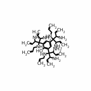 C=CCNC(c1cc(C(NCC=C)(C(N)C=C)C(N)C=C)c(O)c(C(NCC=C)(C(N)C=C)C(N)C=C)c1)(C(N)C=C)C(N)C=C